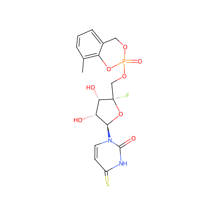 Cc1cccc2c1OP(=O)(OC[C@@]1(F)O[C@@H](n3ccc(=S)[nH]c3=O)[C@H](O)[C@@H]1O)OC2